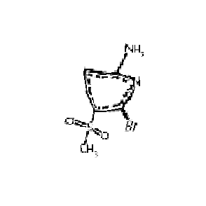 CS(=O)(=O)c1ccc(N)nc1Br